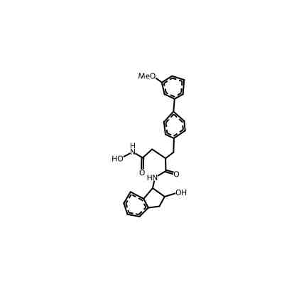 COc1cccc(-c2ccc(CC(CC(=O)NO)C(=O)NC3c4ccccc4CC3O)cc2)c1